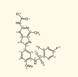 CCC(=O)Nc1nc(C)c2nc(-c3cnc(OC)c(NS(=O)(=O)c4ccc(F)cc4F)c3)sc2n1